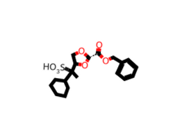 CC(C1CCCCC1)(C1CO[C@H](C(=O)OCc2ccccc2)O1)S(=O)(=O)O